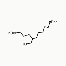 CCCCCCCCCCCCCCC[C@@H](CO)CCCCCCCCCCCCC